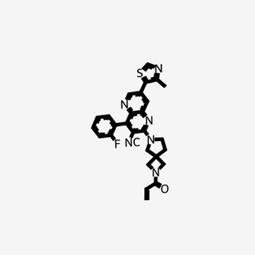 C=CC(=O)N1CC2(CCN(c3nc4cc(-c5scnc5C)cnc4c(-c4ccccc4F)c3C#N)C2)C1